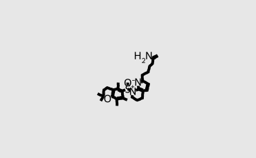 C=C(N)CCCCc1ccc2c(n1)N([S+]([O-])c1c(C)c(C)c3c(c1C)CCC(C)(C)O3)CCC2